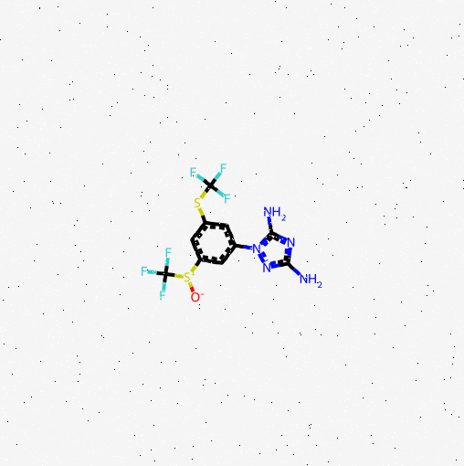 Nc1nc(N)n(-c2cc(SC(F)(F)F)cc([S+]([O-])C(F)(F)F)c2)n1